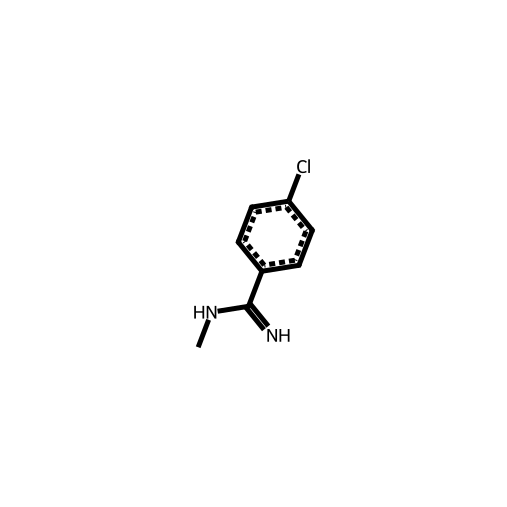 CNC(=N)c1ccc(Cl)cc1